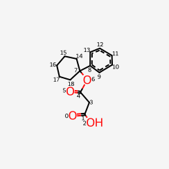 O=C(O)CC(=O)OC1(c2ccccc2)CCCCC1